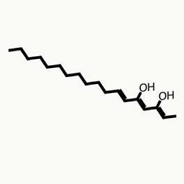 CC=C(O)C=C(O)C=CCCCCCCCCCCC